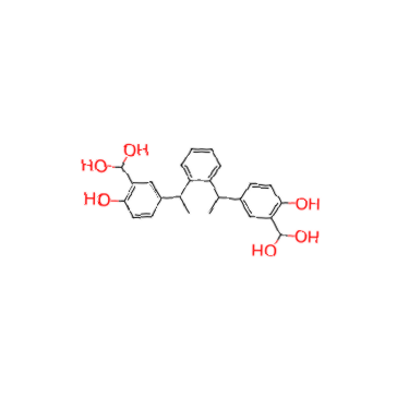 CC(c1ccc(O)c(C(O)O)c1)c1ccccc1C(C)c1ccc(O)c(C(O)O)c1